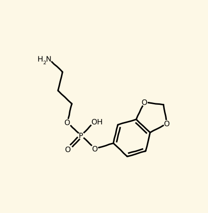 NCCCOP(=O)(O)Oc1ccc2c(c1)OCO2